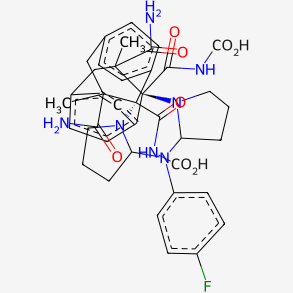 CC1(C(N)=O)Cc2ccc(cc2)[C@]1(C(=O)NC(=O)O)N1CCCC1N(c1ccc(F)cc1)C1CCCN1[C@@]1(C(=O)NC(=O)O)c2ccc(cc2)CC1(C)C(N)=O